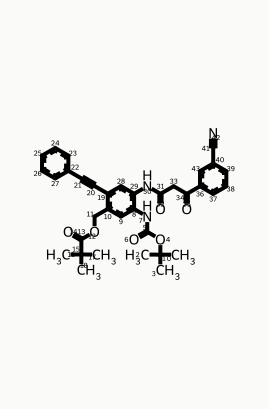 CC(C)(C)OC(=O)Nc1cc(COC(=O)C(C)(C)C)c(C#Cc2ccccc2)cc1NC(=O)CC(=O)c1cccc(C#N)c1